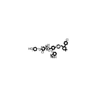 CC1(C)CCC(CN2CCN(c3ccc(C(=O)NS(=O)(=O)c4cnc(OC[C@H]5CC[C@](C)(O)CC5)c(Cl)c4)c(Oc4cccc5[nH]nnc45)c3)CC2)=C(c2ccc(Cl)cc2)C1